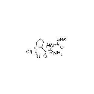 COC(=O)N[C@@H](N)C(=O)N1CCC[C@H]1C(=O)N=O